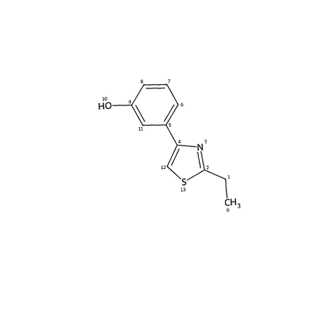 CCc1nc(-c2cccc(O)c2)cs1